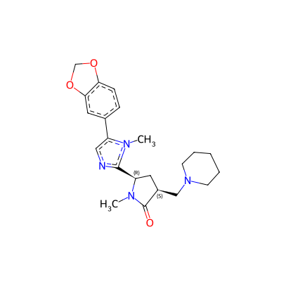 CN1C(=O)[C@H](CN2CCCCC2)C[C@@H]1c1ncc(-c2ccc3c(c2)OCO3)n1C